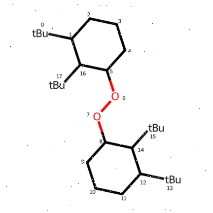 CC(C)(C)C1CCCC(OOC2CCCC(C(C)(C)C)C2C(C)(C)C)C1C(C)(C)C